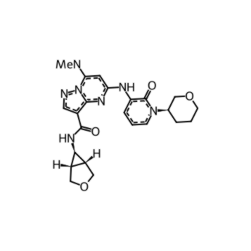 CNc1cc(Nc2cccn([C@@H]3CCCOC3)c2=O)nc2c(C(=O)N[C@H]3[C@@H]4COC[C@@H]43)cnn12